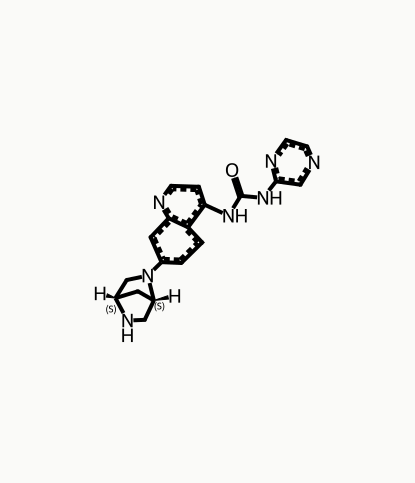 O=C(Nc1cnccn1)Nc1ccnc2cc(N3C[C@@H]4C[C@H]3CN4)ccc12